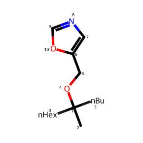 CCCCCCC(C)(CCCC)OCc1cnco1